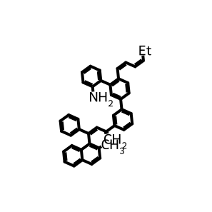 C=C(/C=C(/c1ccccc1)c1c(C)ccc2ccccc12)c1cccc(-c2ccc(/C=C\C=C/CC)c(-c3ccccc3N)c2)c1